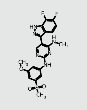 CNc1nc(Nc2cc(OC)cc(S(C)(=O)=O)c2)ncc1-c1n[nH]c2c(F)c(F)ccc12